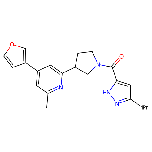 Cc1cc(-c2ccoc2)cc(C2CCN(C(=O)c3cc(C(C)C)n[nH]3)C2)n1